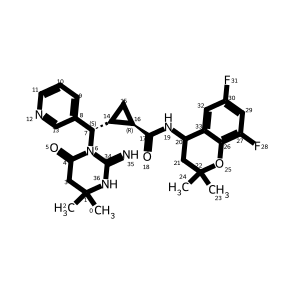 CC1(C)CC(=O)N([C@H](c2cccnc2)C2C[C@H]2C(=O)NC2CC(C)(C)Oc3c(F)cc(F)cc32)C(=N)N1